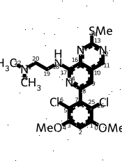 COc1cc(OC)c(Cl)c(-c2cc3cnc(SC)nc3c(NCCN(C)C)n2)c1Cl